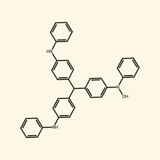 ON(c1ccccc1)c1ccc(C(c2ccc(Nc3ccccc3)cc2)c2ccc(Nc3ccccc3)cc2)cc1